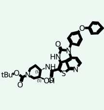 CC(C)(C)OC(=O)N1CC[C@H](NC(=O)c2sc3nccc4c3c2NC(=O)N4c2ccc(Oc3ccccc3)cc2)[C@@H](O)C1